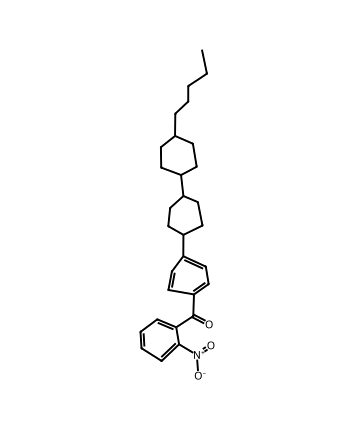 CCCCCC1CCC(C2CCC(c3ccc(C(=O)c4ccccc4[N+](=O)[O-])cc3)CC2)CC1